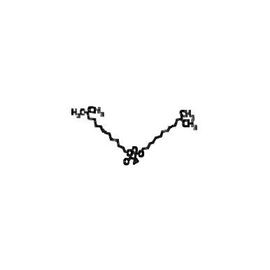 CC(C)CCCCCCCCCCCOC(=O)C1(C(=O)OCCCCCCCCCCCC(C)C)CC1